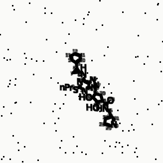 CCCSc1nc(NC2CC2c2ccccc2)c2nnn(C3C[C@@H](C(=O)NCc4cccnc4)[C@H](O)C3O)c2n1